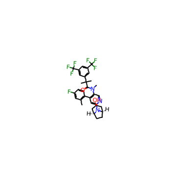 Cc1cc(F)ccc1-c1cc(N2[C@@H]3CC[C@H]2C[C@H](O)C3)ncc1N(C)C(=O)C(C)(C)c1cc(C(F)(F)F)cc(C(F)(F)F)c1